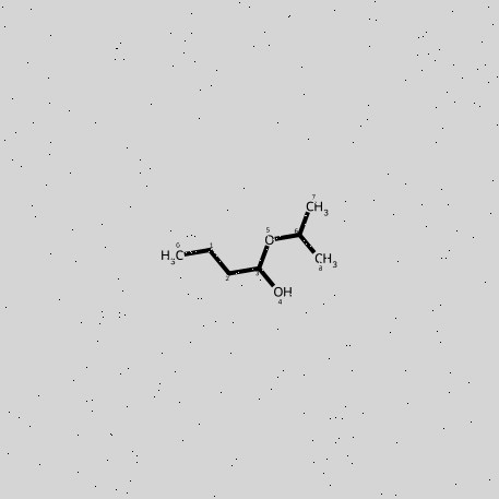 CCCC(O)OC(C)C